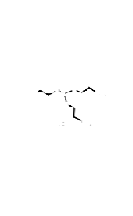 CCCON(OCCC)OCCC.O